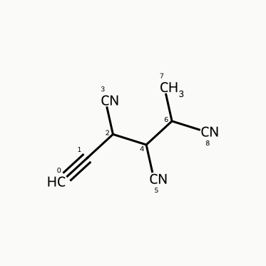 C#CC(C#N)C(C#N)C(C)C#N